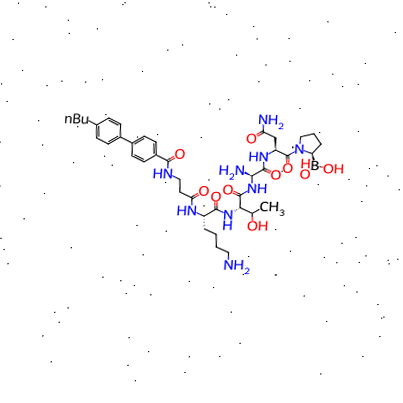 CCCCc1ccc(-c2ccc(C(=O)NCCC(=O)N[C@@H](CCCCN)C(=O)N[C@H](C(=O)N[C@@H](N)C(=O)N[C@@H](CC(N)=O)C(=O)N3CCC[C@H]3B(O)O)C(C)O)cc2)cc1